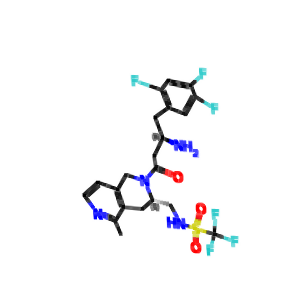 Cc1nccc2c1C[C@@H](CNS(=O)(=O)C(F)(F)F)N(C(=O)C[C@H](N)Cc1cc(F)c(F)cc1F)C2